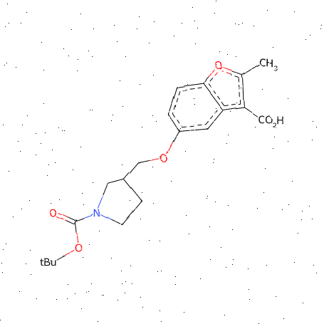 Cc1oc2ccc(OCC3CCN(C(=O)OC(C)(C)C)C3)cc2c1C(=O)O